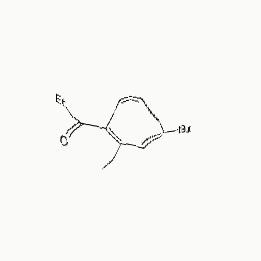 CCC(=O)c1ccc(C(C)(C)C)cc1C